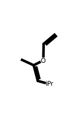 C=COC(C)=CC(C)C